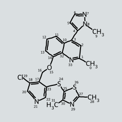 Cc1cc(-c2ccnn2C)c2cccc(OCc3c(Cl)cncc3Sc3sc(C)nc3C)c2n1